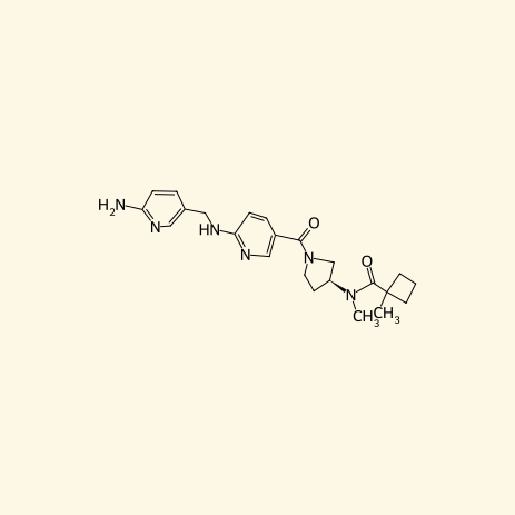 CN(C(=O)C1(C)CCC1)[C@H]1CCN(C(=O)c2ccc(NCc3ccc(N)nc3)nc2)C1